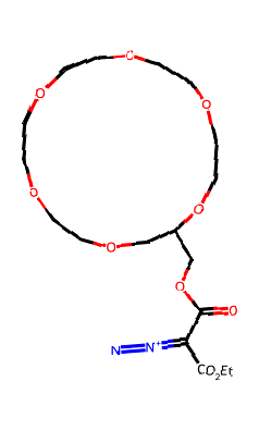 CCOC(=O)C(=[N+]=[N-])C(=O)OCC1COCCOCCOCCOCCOCCO1